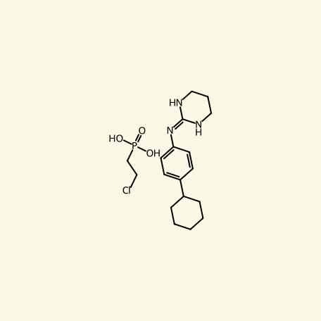 O=P(O)(O)CCCl.c1cc(C2CCCCC2)ccc1N=C1NCCCN1